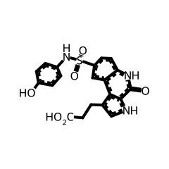 O=C(O)CCc1c[nH]c2c(=O)[nH]c3ccc(S(=O)(=O)Nc4ccc(O)cc4)cc3c12